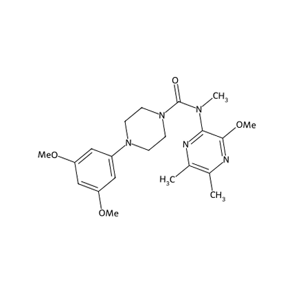 COc1cc(OC)cc(N2CCN(C(=O)N(C)c3nc(C)c(C)nc3OC)CC2)c1